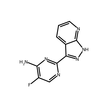 Nc1nc(-c2n[nH]c3ncccc23)ncc1F